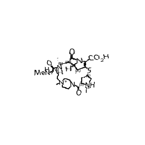 CNCC(=O)N[C@H](C)[C@H]1C(=O)N2C(C(=O)O)=C(S[C@@H]3CN[C@H](C(=O)N4CC[N+](C)(CCN)CC4)C3)[C@H](C)[C@H]12.[I-]